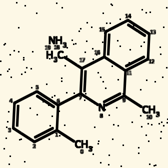 Cc1ccccc1-c1nc(C)c2ccccc2c1C.N